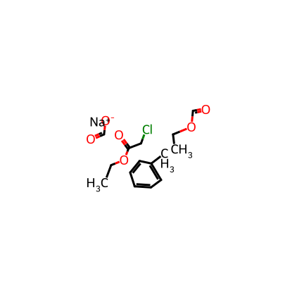 CCOC(=O)CCl.CCOC=O.Cc1ccccc1.O=C[O-].[Na+]